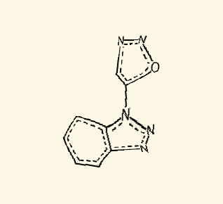 c1ccc2c(c1)nnn2-c1cnno1